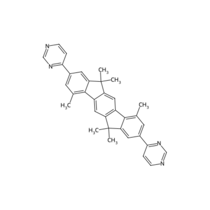 Cc1cc(-c2ccncn2)cc2c1-c1cc3c(cc1C2(C)C)-c1c(C)cc(-c2ccncn2)cc1C3(C)C